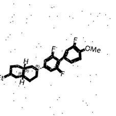 CCC1CC[C@@H]2C[C@H](c3cc(F)c(-c4ccc(OC)c(F)c4)c(F)c3)CC[C@@H]2C1